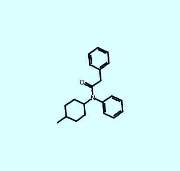 CC1CCC(N(C(=O)Cc2ccccc2)c2ccccc2)CC1